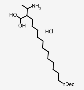 CCCCCCCCCCCCCCCCCCCCCCC(C(C)N)C(O)O.Cl